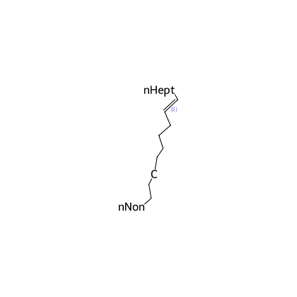 [CH2]CCCCCC/C=C/CCCCCCCCCCCCCCC[CH2]